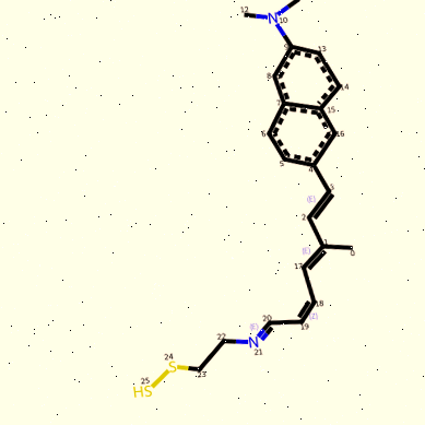 CC(/C=C/c1ccc2cc(N(C)C)ccc2c1)=C\C=C/C=N/CCSS